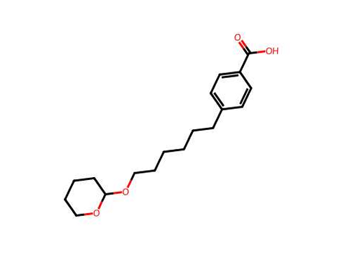 O=C(O)c1ccc(CCCCCCOC2CCCCO2)cc1